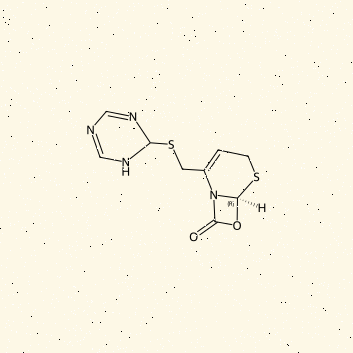 O=C1O[C@@H]2SCC=C(CSC3N=CN=CN3)N12